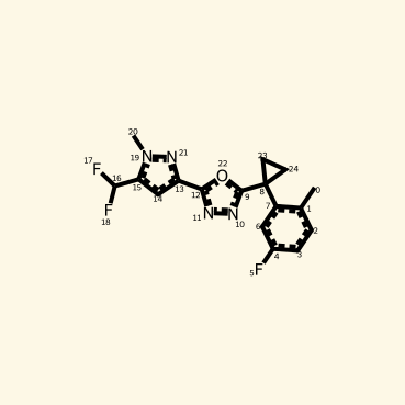 Cc1ccc(F)cc1C1(c2nnc(-c3cc(C(F)F)n(C)n3)o2)CC1